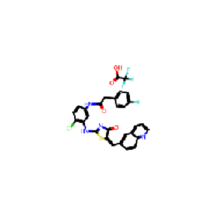 O=C(Cc1ccc(F)cc1)Nc1ccc(Cl)c(NC2=NC(=O)C(=Cc3ccc4ncccc4c3)S2)c1.O=C(O)C(F)(F)F